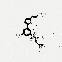 CN(C[C@H]1CO1)S(=O)(=O)c1cc(-c2ccc(C=CC(=O)O)s2)cc(C(F)(F)F)c1